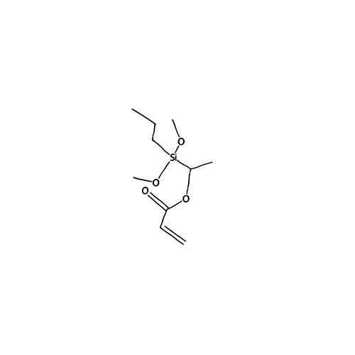 C=CC(=O)OC(C)[Si](CCC)(OC)OC